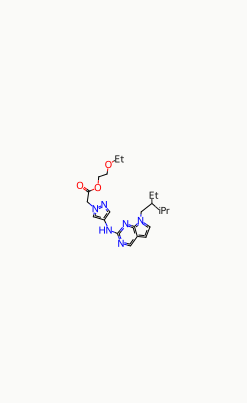 CCOCCOC(=O)Cn1cc(Nc2ncc3ccn(CC(CC)C(C)C)c3n2)cn1